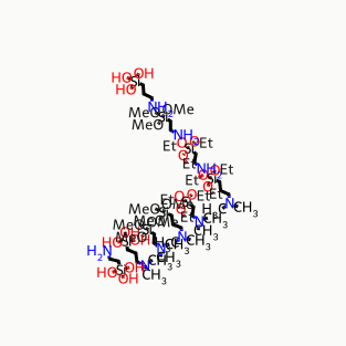 CCO[Si](CCCN(C)C)(OCC)OCC.CCO[Si](CCN(C)C)(OCC)OCC.CCO[Si](CCN)(OCC)OCC.CN(C)CCC[Si](O)(O)O.CO[Si](CCCN(C)C)(OC)OC.CO[Si](CCN(C)C)(OC)OC.CO[Si](CCN)(OC)OC.NCCC[Si](O)(O)O.NCC[Si](O)(O)O